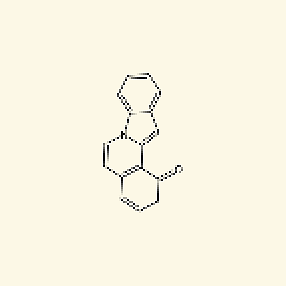 O=C1CC=Cc2ccn3c(cc4ccccc43)c21